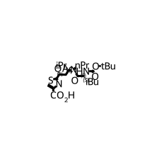 CCCN(C(=O)[C@@H](NC(=O)OC(C)(C)C)[C@@H](C)CC)[C@H](C[C@@H](OC(C)=O)c1nc(C(=O)O)cs1)C(C)C